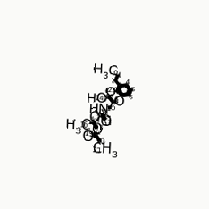 CCCc1cccc(O[C@@H](CNC(=O)O[C@H](C)OC(=O)CC)C(=O)O)c1